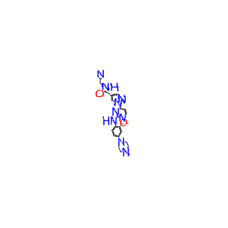 COc1cc(N2CCN(C)CC2)ccc1Nc1nccc(-n2cc(C(=O)NCC#N)cn2)n1